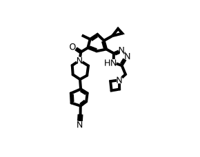 Cc1cc(C2CC2)c(-c2nnc(CN3CCC3)[nH]2)cc1C(=O)N1CCC(c2ccc(C#N)cc2)CC1